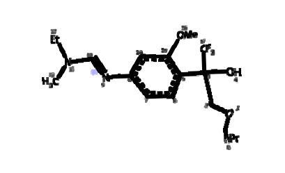 CCCOCC(O)(c1ccc(/N=C/N(C)CC)cc1OC)C(F)(F)F